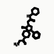 NCC(=O)N1CCC2(CC1)C(=O)N(CC(=O)NC1CCCCC1)CN2c1ccccc1